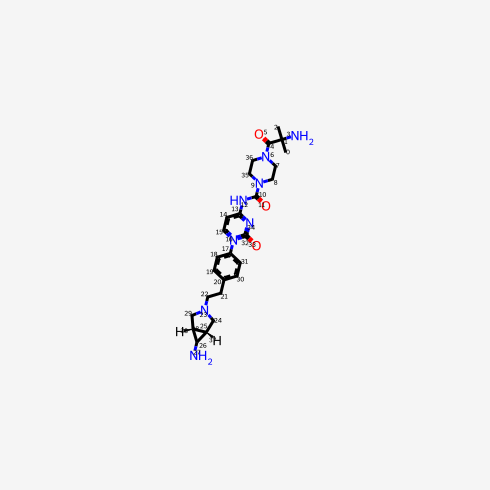 CC(C)(N)C(=O)N1CCN(C(=O)Nc2ccn(-c3ccc(CCN4C[C@@H]5C(N)[C@@H]5C4)cc3)c(=O)n2)CC1